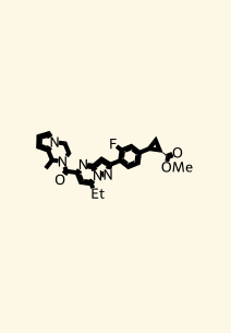 CCc1cc(C(=O)N2CCn3cccc3C2C)nc2cc(-c3ccc(C4C[C@@H]4C(=O)OC)cc3F)nn12